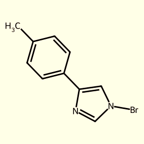 Cc1ccc(-c2cn(Br)cn2)cc1